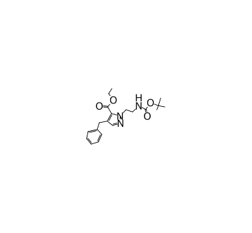 CCOC(=O)c1c(Cc2ccccc2)cnn1CCNC(=O)OC(C)(C)C